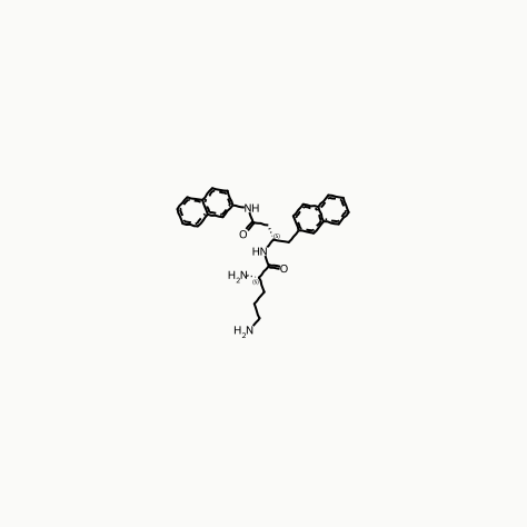 NCCC[C@H](N)C(=O)N[C@H](CC(=O)Nc1ccc2ccccc2c1)Cc1ccc2ccccc2c1